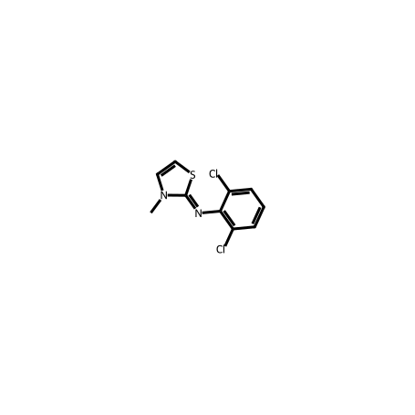 Cn1ccsc1=Nc1c(Cl)cccc1Cl